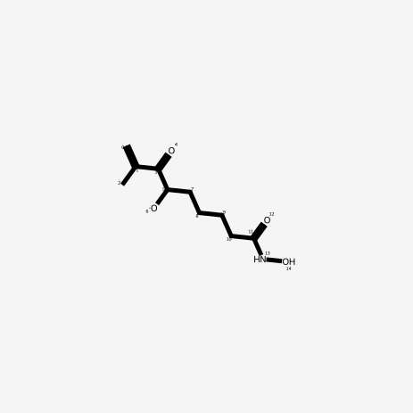 C=C(C)C(=O)C([O])CCCCC(=O)NO